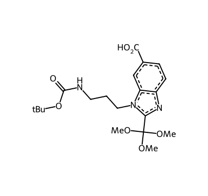 COC(OC)(OC)c1nc2ccc(C(=O)O)cc2n1CCCNC(=O)OC(C)(C)C